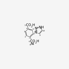 O=C(O)c1ccc(C(=O)O)cc1.[Ni].c1c[nH]nn1